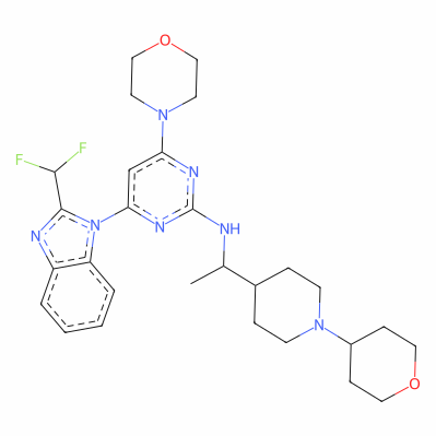 CC(Nc1nc(N2CCOCC2)cc(-n2c(C(F)F)nc3ccccc32)n1)C1CCN(C2CCOCC2)CC1